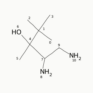 CC(C)(C)C(C)(O)C(N)CN